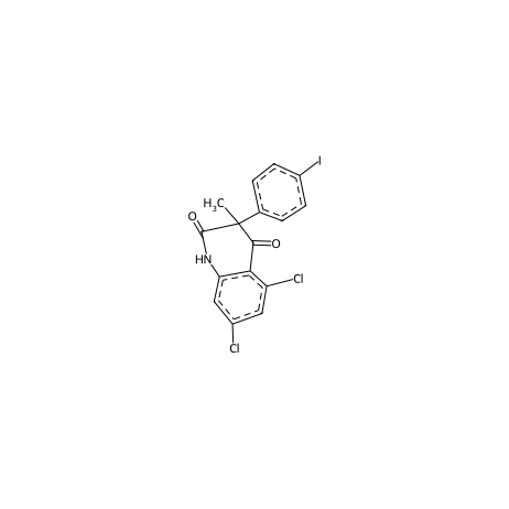 CC1(c2ccc(I)cc2)C(=O)Nc2cc(Cl)cc(Cl)c2C1=O